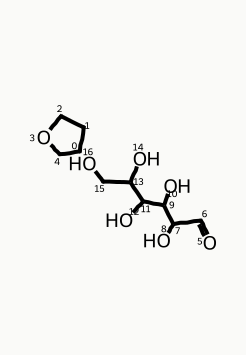 C1CCOC1.O=CC(O)C(O)C(O)C(O)CO